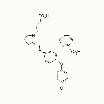 O=C(O)CCCN1CCC[C@H]1COc1ccc(Oc2ccc(Cl)cc2)cc1.O=S(=O)(O)c1ccccc1